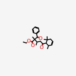 CCOC(=O)C(C)(C(=O)c1ccccc1)C(C)CC(=O)C1C(C)C=CCC1(C)C